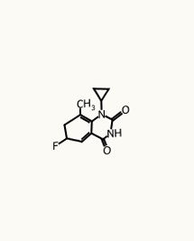 CC1=c2c(c(=O)[nH]c(=O)n2C2CC2)=CC(F)C1